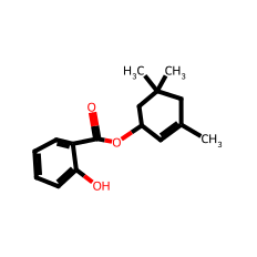 CC1=CC(OC(=O)c2ccccc2O)CC(C)(C)C1